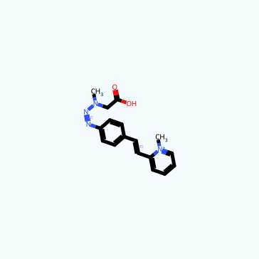 CN(CC(=O)O)/N=N\c1ccc(/C=C/c2cccc[n+]2C)cc1